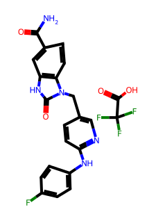 NC(=O)c1ccc2c(c1)[nH]c(=O)n2Cc1ccc(Nc2ccc(F)cc2)nc1.O=C(O)C(F)(F)F